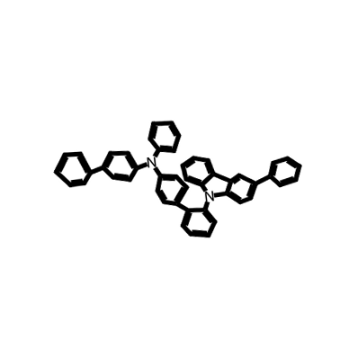 c1ccc(-c2ccc(N(c3ccccc3)c3ccc(-c4ccccc4-n4c5ccccc5c5cc(-c6ccccc6)ccc54)cc3)cc2)cc1